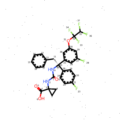 O=C(NC1(C(=O)O)CC1)N[C@](Cc1ccccc1)(c1ccc(F)cc1)c1cc(F)cc(OC(F)(F)C(F)F)c1